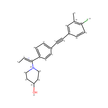 C/C=C(/c1ccc(C#Cc2ccc(F)c(C)c2)cc1)N1CCC(O)CC1